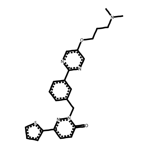 CN(C)CCCOc1cnc(-c2cccc(Cn3nc(-c4cccs4)ccc3=O)c2)nc1